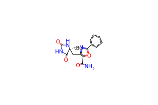 CC(C)(C)[C@@]1(Cc2nc(-c3ccccc3)oc2C(N)=O)NC(=O)NC1=O